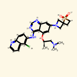 C[C@H](CN(C)C)Oc1cc(N2CC3(CCS3(=O)=O)C2)cc2ncnc(Nc3ccc4ncccc4c3F)c12